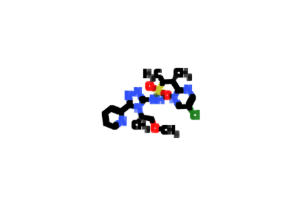 COC[C@H](C)n1c(NS(=O)(=O)[C@@H](C)[C@H](C)c2ncc(Cl)cn2)nnc1-c1ccccn1